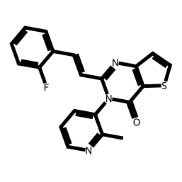 Cc1ncccc1-n1c(C=Cc2ccccc2F)nc2ccsc2c1=O